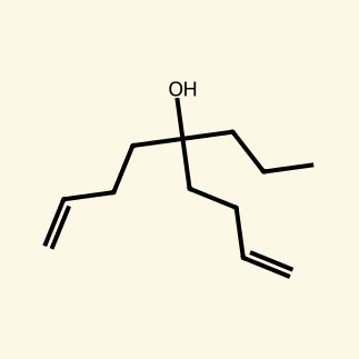 C=CCCC(O)(CCC)CCC=C